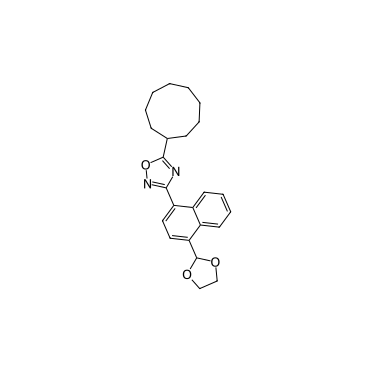 c1ccc2c(C3OCCO3)ccc(-c3noc(C4CCCCCCCC4)n3)c2c1